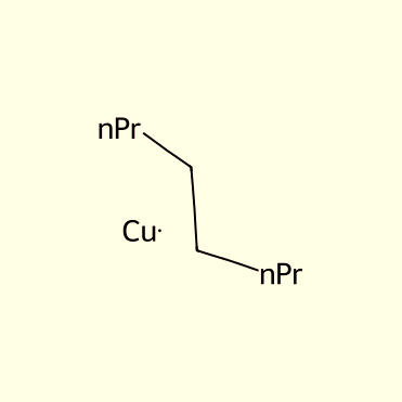 CCCCCCCC.[Cu]